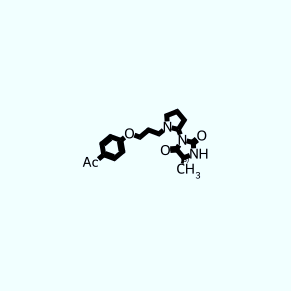 CC(=O)c1ccc(OCCCN2CCCC2N2C(=O)N[C@@H](C)C2=O)cc1